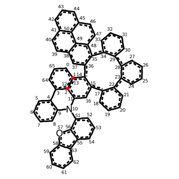 c1ccc(-c2ccccc2N(c2ccc3c(c2)c2ccccc2c2ccccc2c2ccccc2c2c3cc3ccc4cccc5ccc2c3c45)c2cccc3c2oc2ccccc23)cc1